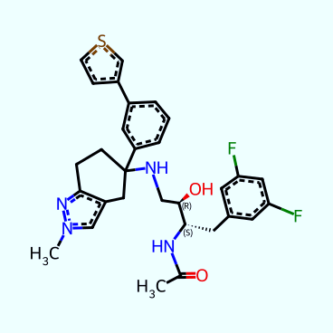 CC(=O)N[C@@H](Cc1cc(F)cc(F)c1)[C@H](O)CNC1(c2cccc(-c3ccsc3)c2)CCc2nn(C)cc2C1